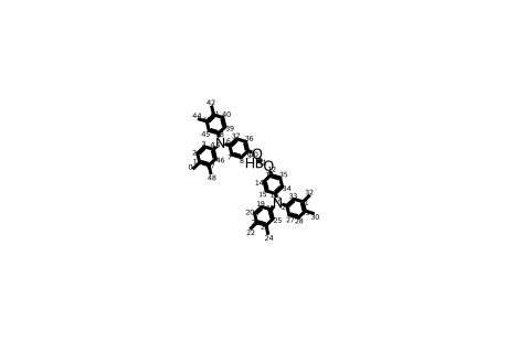 Cc1ccc(N(c2ccc(OBOc3ccc(N(c4ccc(C)c(C)c4)c4ccc(C)c(C)c4)cc3)cc2)c2ccc(C)c(C)c2)cc1C